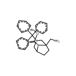 CC(C)(C)OC(=O)N1C2CCC1(CN)CN(C(c1ccccc1)(c1ccccc1)c1ccccc1)C2